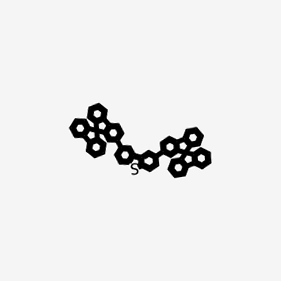 c1ccc2c(c1)-c1ccccc1C21c2ccccc2-c2ccc(-c3ccc4sc5ccc(-c6ccc7c(c6)C6(c8ccccc8-c8ccccc86)c6ccccc6-7)cc5c4c3)cc21